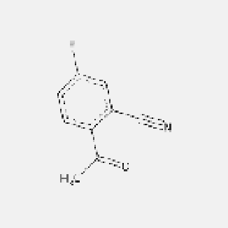 CC(=O)c1ccc(F)cc1C#N